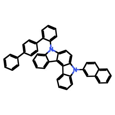 c1ccc(-c2ccc(-c3ccccc3-n3c4ccccc4c4c5c6ccccc6n(-c6ccc7ccccc7c6)c5ccc43)cc2)cc1